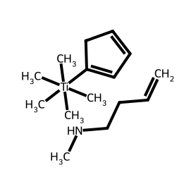 C=CCCNC.[CH3][Ti]([CH3])([CH3])([CH3])([CH3])[C]1=CC=CC1